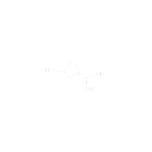 CC(C)c1ccc(O)s1